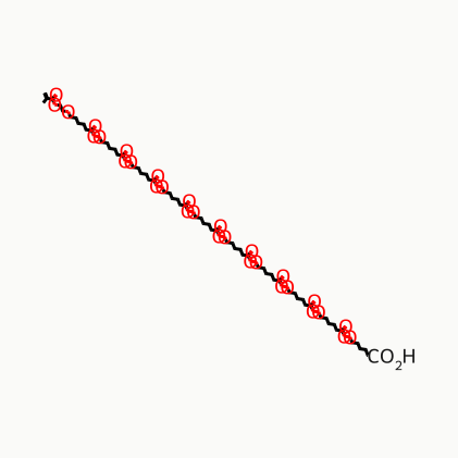 C=C(C)C(=O)OCCOCCCCCC(=O)OOCCCCCC(=O)OOCCCCCC(=O)OOCCCCCC(=O)OOCCCCCC(=O)OOCCCCCC(=O)OOCCCCCC(=O)OOCCCCCC(=O)OOCCCCCC(=O)OOCCCCCC(=O)O